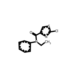 CCN(C(=O)c1csc(Cl)n1)c1ccccc1